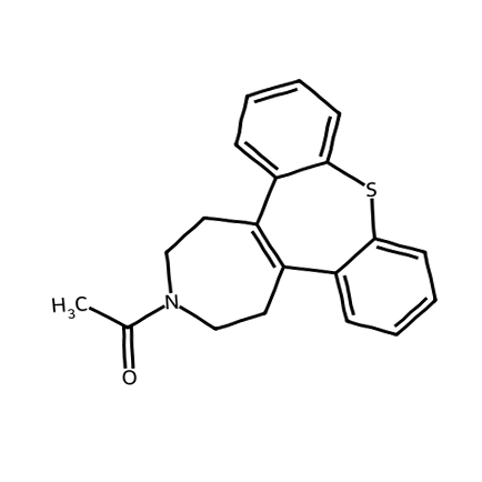 CC(=O)N1CCC2=C(CC1)c1ccccc1Sc1ccccc12